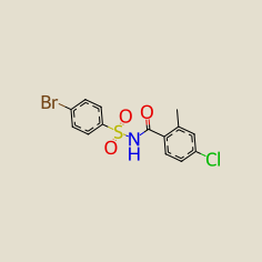 Cc1cc(Cl)ccc1C(=O)NS(=O)(=O)c1ccc(Br)cc1